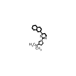 CN(C)C1CCN(c2nccc(-c3ccc4ccccc4c3)n2)C1